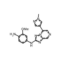 COc1cc(Nc2nc3cncc(-c4cnn(C)c4)n3n2)ccc1N